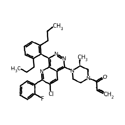 C=CC(=O)N1CCN(c2nnc(-c3c(CCC)cccc3CCC)c3nc(-c4ccccc4F)c(Cl)cc23)[C@@H](C)C1